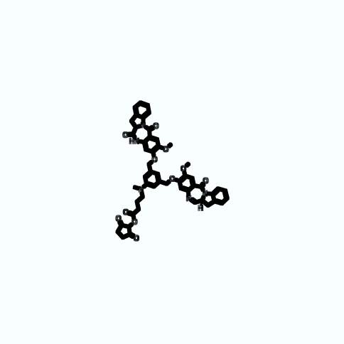 COc1cc2c(cc1OCc1cc(COc3cc4c(cc3OC)C(=O)N3c5ccccc5CC3C(=O)N4)cc(N(C)CCCC(=O)OC3C(=O)CCC3=O)c1)N=C[C@@H]1Cc3ccccc3N1C2=O